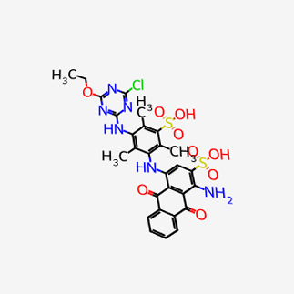 CCOc1nc(Cl)nc(Nc2c(C)c(Nc3cc(S(=O)(=O)O)c(N)c4c3C(=O)c3ccccc3C4=O)c(C)c(S(=O)(=O)O)c2C)n1